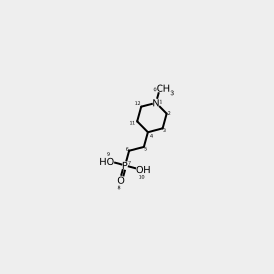 CN1CCC(CCP(=O)(O)O)CC1